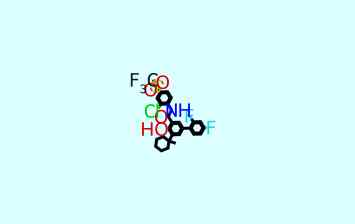 CC1(c2cc(-c3ccc(F)cc3F)cc(C(=O)Nc3ccc(S(=O)(=O)C(F)(F)F)cc3Cl)c2O)CCCCC1